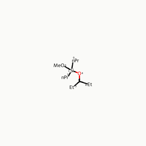 CCC[Si](CCC)(OC)OC(CC)CC